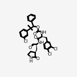 CC(C)(c1cccc(Cl)c1)C(OC(=O)N[C@@H](Cc1ccc(Cl)c(Cl)c1)C(=O)N[C@H](C=O)C[C@@H]1CCNC1=O)c1ccccc1